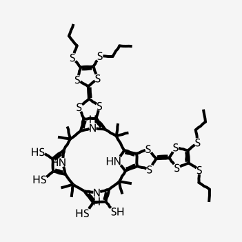 CCCSC1=C(SCCC)SC(=C2Sc3c4[nH]c(c3S2)C(C)(C)c2[nH]c(c3c2SC(=C2SC(SCCC)=C(SCCC)S2)S3)C(C)(C)c2[nH]c(c(S)c2S)C(C)(C)c2[nH]c(c(S)c2S)C4(C)C)S1